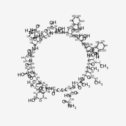 CCCC[C@H]1C(=O)N(C)[C@@H](CCCC)C(=O)N[C@@H](C)C(=O)N[C@H](C(=O)NCC(N)=O)CSCC(=O)N[C@@](C)(Cc2ccc(O)cc2)C(=O)N(C)C(C)C(=O)N[C@@H](CC(=O)O)C(=O)N2CCC[C@H]2C(=O)N[C@@H](Cc2cnc[nH]2)C(=O)N[C@@H](CCC(N)=O)C(=O)N2C[C@H](O)C[C@H]2C(=O)N[C@@H](Cc2c[nH]c3ccccc23)C(=O)N[C@@H](CO)C(=O)N[C@@H](Cc2c[nH]c3ccccc23)C(=O)N1C